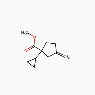 C=C1CCC(C(=O)OC)(C2CC2)C1